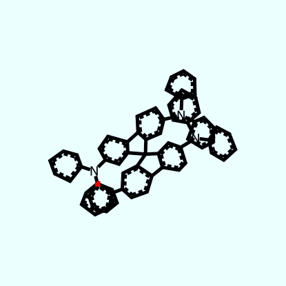 c1ccc(-c2ccc3c(c2)C2(c4cc(N(c5ccccc5)c5ccccc5)ccc4-3)c3cc(N(c4ccccc4)c4ccccc4)ccc3-c3ccc(N(c4ccccc4)c4ccccc4)cc32)cc1